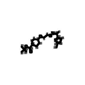 CC(=NOCCOC1CCN(C(=O)OC(C)(C)C)CC1)c1ccc(C)s1